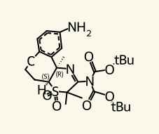 CC(C)(C)OC(=O)N(C(=O)OC(C)(C)C)C1=N[C@]2(C)c3cc(N)ccc3CCC[C@@H]2S(=O)(=O)C1(C)C